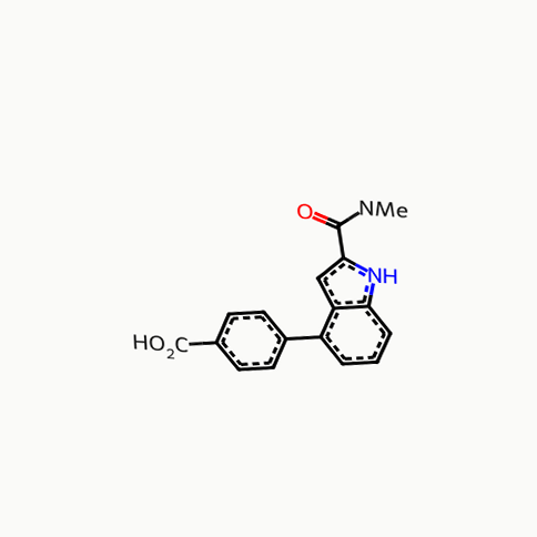 CNC(=O)c1cc2c(-c3ccc(C(=O)O)cc3)cccc2[nH]1